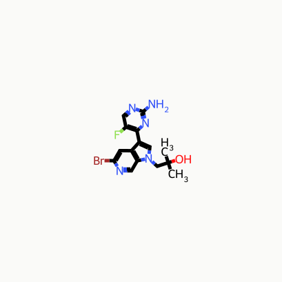 CC(C)(O)Cn1cc(-c2nc(N)ncc2F)c2cc(Br)ncc21